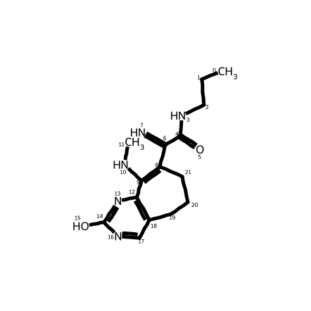 CCCNC(=O)C(=N)C1=C(NC)c2nc(O)ncc2CCC1